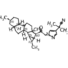 C[C@H]1CC[C@H]2[C@H](CC[C@H]3C4[C@@H]5[C@H](C)[C@@H]5[C@H](C(=O)Cn5cc(C(C)(C)C#N)cn5)[C@@]4(C)CC[C@H]23)C1